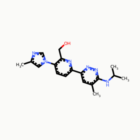 Cc1cn(-c2ccc(-c3cc(C)c(NC(C)C)nn3)nc2CO)cn1